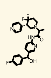 CC(C(=O)Nc1ccc(C(O)c2ccc(F)cc2)cn1)N1CCC(F)(F)[C@@H](c2ccncc2)C1